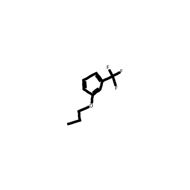 CCCOc1[c]ccc(C(F)(F)F)c1